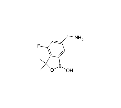 CC1(C)OB(O)c2cc(CN)cc(F)c21